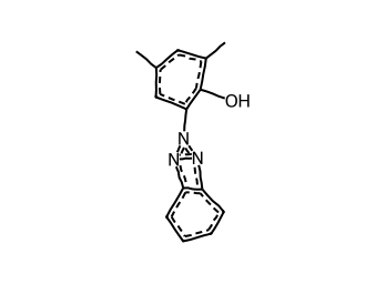 Cc1cc(C)c(O)c(-n2n3c4ccccc4n23)c1